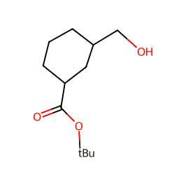 CC(C)(C)OC(=O)C1CCCC(CO)C1